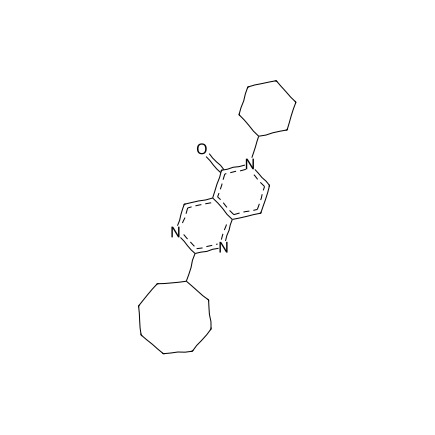 O=c1c2cnc(C3CCCCCCC3)nc2ccn1C1CCCCC1